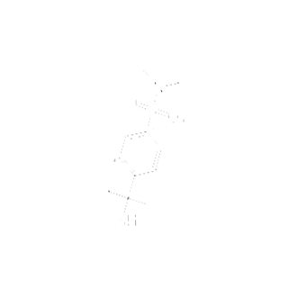 CN(C)S(=O)(=O)c1ccc(C(C)(C)S)cc1